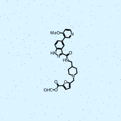 COc1ccncc1-c1ccc2[nH]nc(C(=O)NCC3CCN(Cc4ccc(C(=O)OC=O)o4)CC3)c2c1